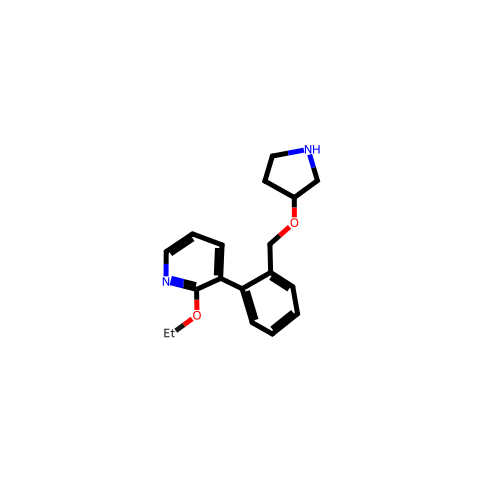 CCOc1ncccc1-c1ccccc1COC1CCNC1